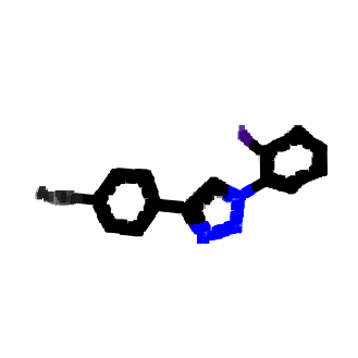 CC(=O)Nc1ccc(-c2cn(-c3ccccc3I)nn2)cc1